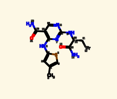 Cc1csc(Nc2nc(N[C@H](CC(C)C)C(N)=O)ncc2C(N)=O)c1